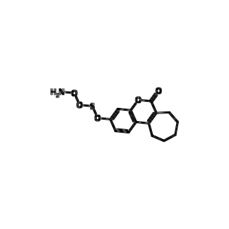 NOOSOc1ccc2c3c(c(=O)oc2c1)CCCCC3